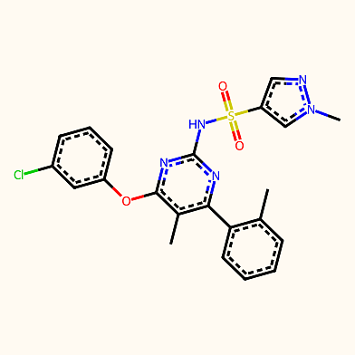 Cc1ccccc1-c1nc(NS(=O)(=O)c2cnn(C)c2)nc(Oc2cccc(Cl)c2)c1C